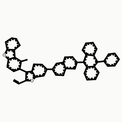 C=Cc1oc2cc(-c3ccc4cc(-c5c6ccccc6c(-c6ccccc6)c6ccccc56)ccc4c3)ccc2c1-c1ccc2oc3ccccc3c2c1C